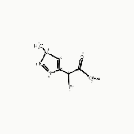 COC(=O)C(c1cn(C)nn1)C(C)C